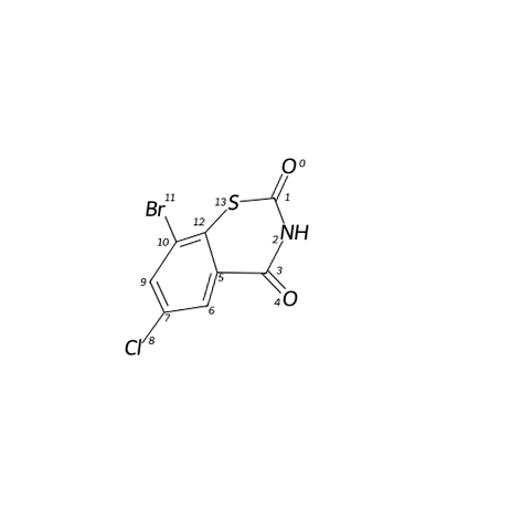 O=c1[nH]c(=O)c2cc(Cl)cc(Br)c2s1